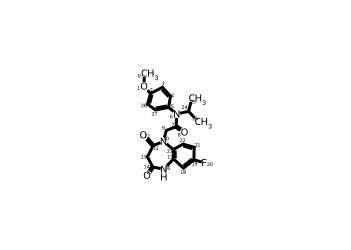 COc1ccc(N(C(=O)CN2C(=O)CC(=O)Nc3cc(F)ccc32)C(C)C)cc1